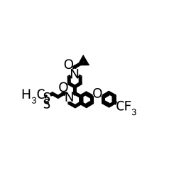 CS(=S)CCC(=O)N1CCc2ccc(Oc3ccc(C(F)(F)F)cc3)cc2C1C1CCN(C(=O)C2CC2)CC1